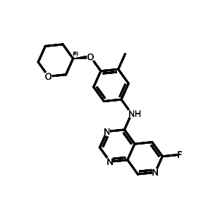 Cc1cc(Nc2ncnc3cnc(F)cc23)ccc1O[C@@H]1CCCOC1